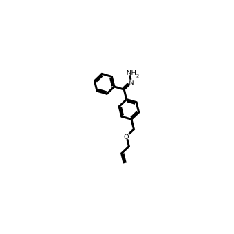 C=CCOCc1ccc(/C(=N/N)c2ccccc2)cc1